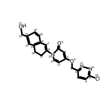 O=c1cc(OCc2ccc(Cl)nn2)ccn1C1=Cc2ccc(CO)cc2CC1